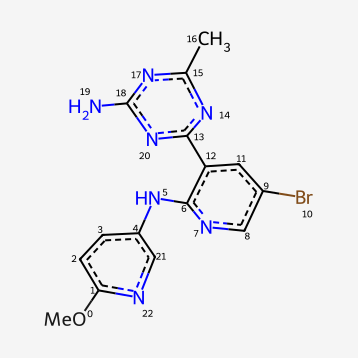 COc1ccc(Nc2ncc(Br)cc2-c2nc(C)nc(N)n2)cn1